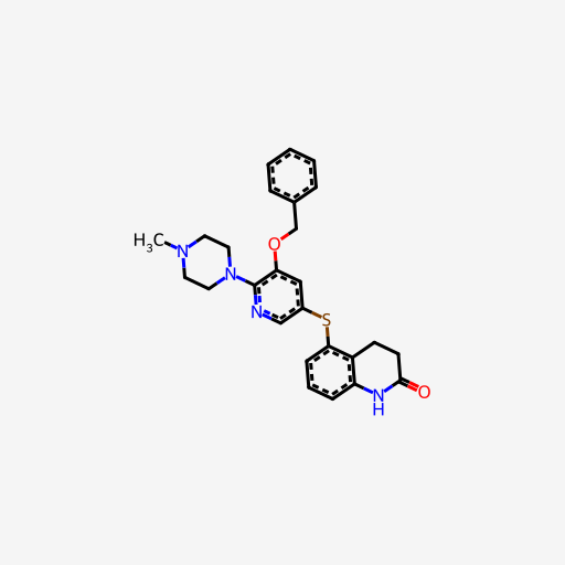 CN1CCN(c2ncc(Sc3cccc4c3CCC(=O)N4)cc2OCc2ccccc2)CC1